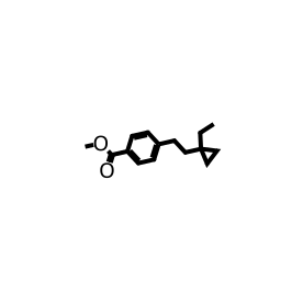 CCC1(CCc2ccc(C(=O)OC)cc2)CC1